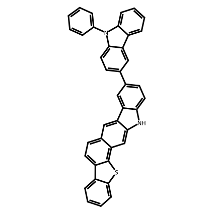 c1ccc(-n2c3ccccc3c3cc(-c4ccc5[nH]c6cc7c(ccc8c9ccccc9sc78)cc6c5c4)ccc32)cc1